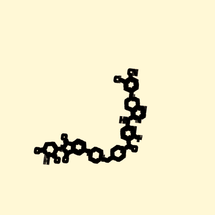 N#Cc1ccc(N2CCc3c(ncnc3Nc3ccc(C(=O)N4CCC(CN5CCN(c6ccc7c(c6)C(=O)N(C6CCC(=O)NC6=O)C7=O)CC5)CC4)c(F)n3)C2)cc1Cl